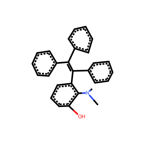 CN(C)c1c(O)cccc1C(=C(c1ccccc1)c1ccccc1)c1ccccc1